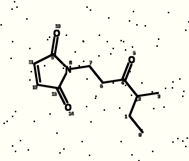 CCC(C)C(=O)CCN1C(=O)C=CC1=O